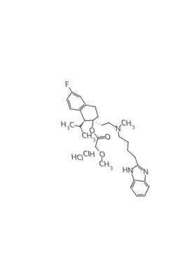 COCC(=O)O[C@]1(CCN(C)CCCCc2nc3ccccc3[nH]2)CCc2cc(F)ccc2[C@@H]1C(C)C.Cl.Cl